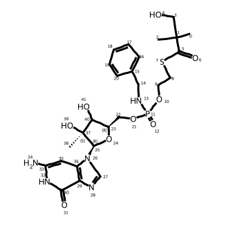 CC(C)(CO)C(=O)SCCOP(=O)(NCc1ccccc1)OC[C@H]1O[C@@H](n2cnc3c(=O)[nH]c(N)cc32)[C@@](C)(O)C1O